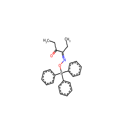 CCC(=O)C(CC)=NO[Si](c1ccccc1)(c1ccccc1)c1ccccc1